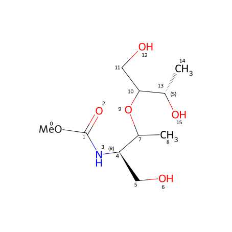 COC(=O)N[C@H](CO)C(C)OC(CO)[C@H](C)O